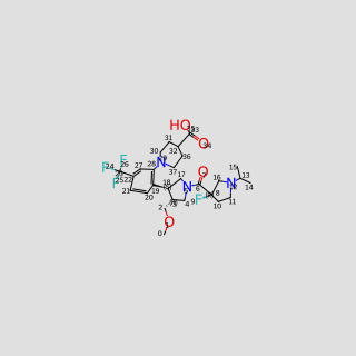 COC[C@H]1CN(C(=O)[C@@]2(F)CCN(C(C)C)C2)C[C@@H]1c1ccc(C(F)(F)F)cc1N1CCC(C(=O)O)CC1